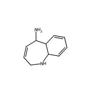 NC1C=CCNC2C=CC=CC12